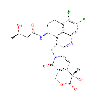 CC[C@@]1(O)C(=O)OCc2c1cc1n(c2=O)Cc2c-1nc1cc(F)c(Br)c3c1c2[C@@H](NC(=O)C[C@@H](C)O)CC3